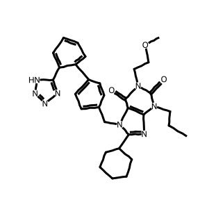 CCCn1c(=O)n(CCOC)c(=O)c2c1nc(C1CCCCC1)n2Cc1ccc(-c2ccccc2-c2nnn[nH]2)cc1